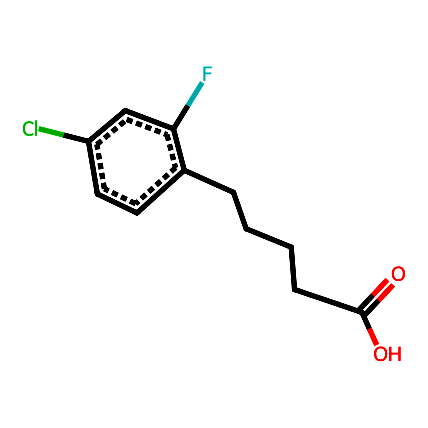 O=C(O)CCCCc1ccc(Cl)cc1F